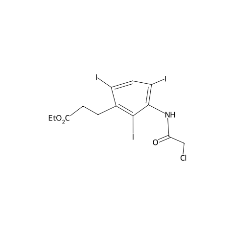 CCOC(=O)CCc1c(I)cc(I)c(NC(=O)CCl)c1I